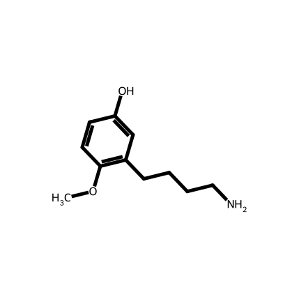 COc1ccc(O)cc1CCCCN